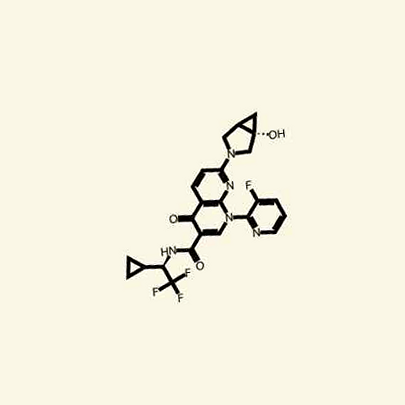 O=C(N[C@H](C1CC1)C(F)(F)F)c1cn(-c2ncccc2F)c2nc(N3CC4C[C@@]4(O)C3)ccc2c1=O